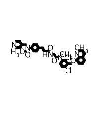 CC(=O)N(Cc1ccncc1)c1ccc(C=CC(=O)NCC(=O)N(C)c2ccc(Cl)c(COc3cccc4ccc(C)nc34)c2Cl)cc1